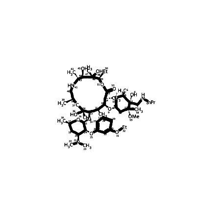 CCCNC[C@]1(O)[C@H](C)O[C@@H](O[C@H]2[C@H](C)[C@@H](O[C@@H]3O[C@H](C)C[C@H](N(C)C)[C@H]3Oc3cccc(OCC)c3)[C@](C)(O)C[C@@H](C)CN[C@H](C)[C@@H](O)[C@](C)(O)[C@@H](CC)OC(=O)[C@@H]2C)C[C@@]1(C)OC